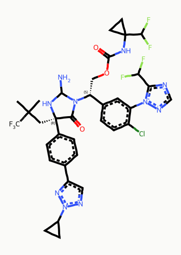 CC(C)(C[C@]1(c2ccc(-c3cnn(C4CC4)n3)cc2)NC(N)N([C@H](COC(=O)NC2(C(F)F)CC2)c2ccc(Cl)c(-n3ncnc3C(F)F)c2)C1=O)C(F)(F)F